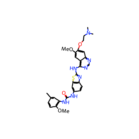 COc1ccc(C)cc1NC(=O)Nc1ccc2nc(Nc3ncnc4cc(OCCN(C)C)c(OC)cc34)sc2c1